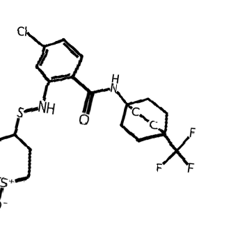 O=C(NC12CCC(C(F)(F)F)(CC1)CC2)c1ccc(Cl)cc1NSC1CC[S+]([O-])CC1